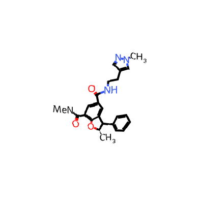 CNC(=O)c1cc(C(=O)NCCc2cnn(C)c2)cc2c1O[C@@H](C)C2c1ccccc1